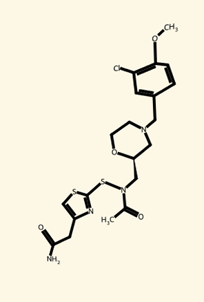 COc1ccc(CN2CCO[C@H](CN(Sc3nc(CC(N)=O)cs3)C(C)=O)C2)cc1Cl